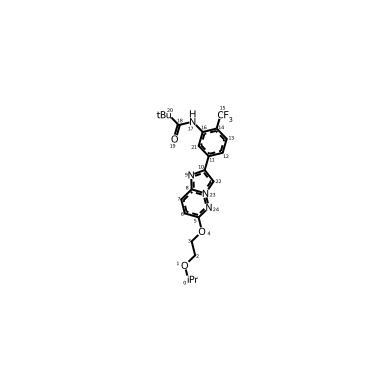 CC(C)OCCOc1ccc2nc(-c3ccc(C(F)(F)F)c(NC(=O)C(C)(C)C)c3)cn2n1